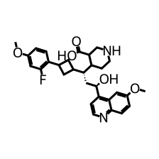 COc1ccc(C2CC([C@@H](C[C@@H](O)c3ccnc4ccc(OC)cc34)C3CCNCC3C(=O)O)C2)c(F)c1